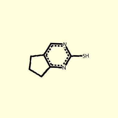 Sc1ncc2c(n1)CCC2